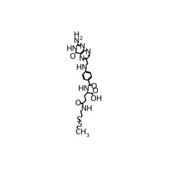 CCSSCCNC(=O)CCC(NC(=O)c1ccc(NCc2cnc3nc(N)[nH]c(=O)c3n2)cc1)C(=O)O